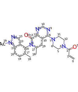 C=CC(=O)N1CCN(c2ncnc3c(=O)n(-c4c(C)ccc5c4cnn5C(C)=O)c(C)cc23)CC1